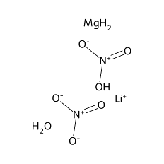 O.O=[N+]([O-])O.O=[N+]([O-])[O-].[Li+].[MgH2]